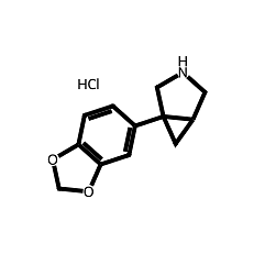 Cl.c1cc2c(cc1C13CNCC1C3)OCO2